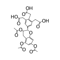 CC(=O)Oc1cc(OC(C)=O)c2c(c1)O[C@H](c1cc(CC(=O)O)c(CC(=O)O)c(CC(=O)O)c1)[C@H](OC(C)=O)C2